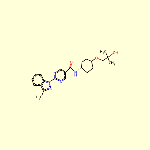 Cc1nn(-c2ncc(C(=O)N[C@H]3CC[C@H](OCC(C)(C)O)CC3)cn2)c2ccccc12